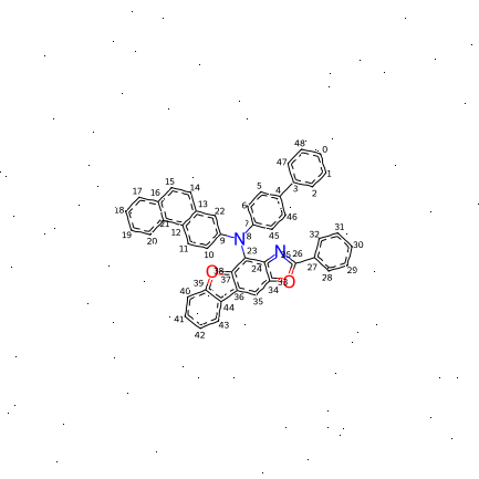 c1ccc(-c2ccc(N(c3ccc4c(ccc5ccccc54)c3)c3c4nc(-c5ccccc5)oc4cc4c3oc3ccccc34)cc2)cc1